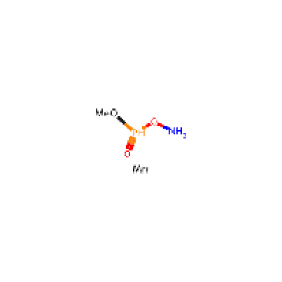 CO[PH](=O)ON.[Mn]